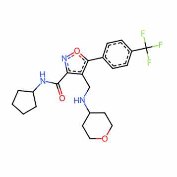 O=C(NC1CCCC1)c1noc(-c2ccc(C(F)(F)F)cc2)c1CNC1CCOCC1